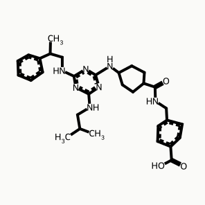 CC(C)CNc1nc(NCC(C)c2ccccc2)nc(NC2CCC(C(=O)NCc3ccc(C(=O)O)cc3)CC2)n1